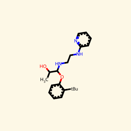 CC(O)C(NCCNc1ccccn1)Oc1ccccc1C(C)(C)C